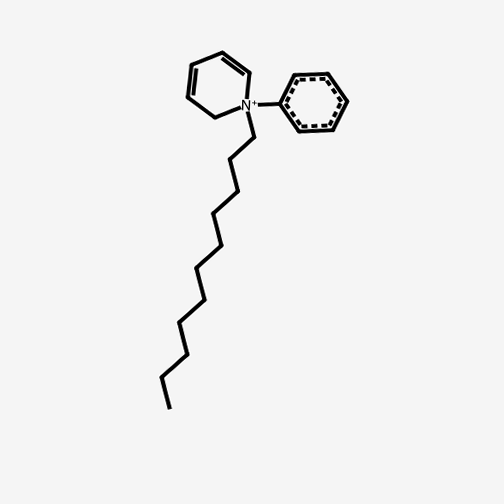 CCCCCCCCCCC[N+]1(c2ccccc2)C=CC=CC1